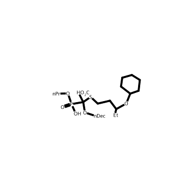 CCCCCCCCCCOC(SCCC(CC)OC1CCCCC1)(C(=O)O)P(=O)(O)OCCC